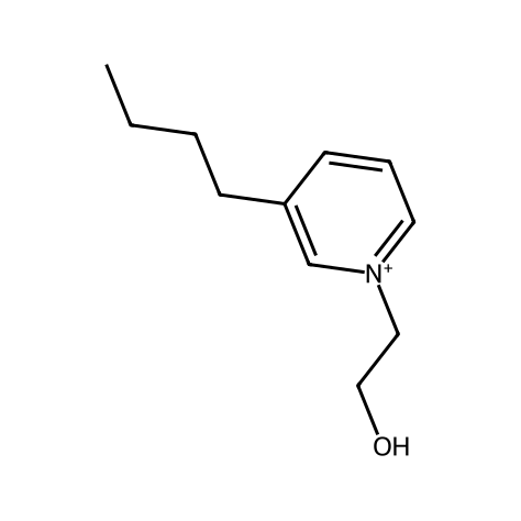 CCCCc1ccc[n+](CCO)c1